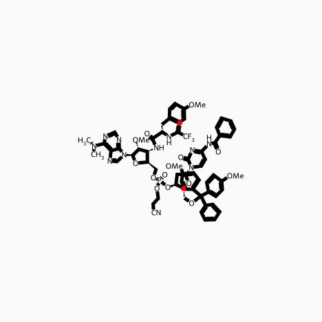 COc1ccc(C[C@H](NC(=O)C(F)(F)F)C(=O)N[C@H]2[C@@H](OC)[C@H](n3cnc4c(N(C)C)ncnc43)O[C@@H]2COP(=O)(OCCC#N)O[C@H]2C[C@H](n3ccc(NC(=O)c4ccccc4)nc3=O)O[C@@H]2COC(c2ccccc2)(c2ccc(OC)cc2)c2ccc(OC)cc2)cc1